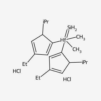 CCC1=CC(C(C)C)[C]([Hf]([CH3])([CH3])(=[SiH2])[C]2=CC(CC)=CC2C(C)C)=C1.Cl.Cl